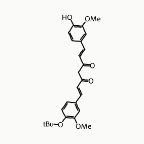 COc1cc(/C=C/C(=O)CC(=O)/C=C/c2ccc(OC(C)(C)C)c(OC)c2)ccc1O